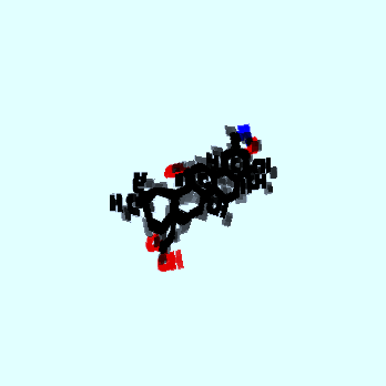 CC1(C)CC[C@]2(CC(=O)O)CC[C@]3(C)C(C(=O)C[C@@H]4[C@@]5(C)Cc6cnoc6C(C)(C)[C@@H]5CC[C@]43C)C2C1